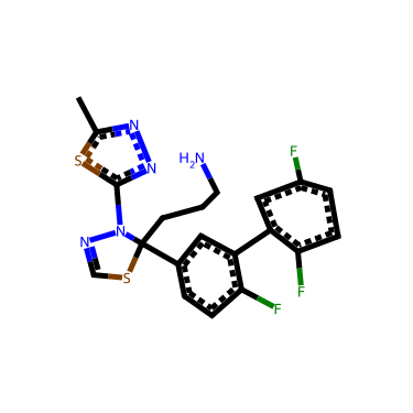 Cc1nnc(N2N=CSC2(CCCN)c2ccc(F)c(-c3cc(F)ccc3F)c2)s1